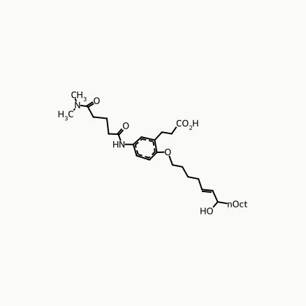 CCCCCCCCC(O)/C=C/CCCCOc1ccc(NC(=O)CCCC(=O)N(C)C)cc1CCC(=O)O